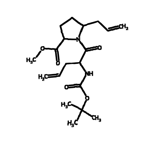 C=CCC(NC(=O)OC(C)(C)C)C(=O)N1C(CC=C)CCC1C(=O)OC